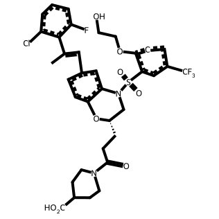 C/C(=C\c1ccc2c(c1)N(S(=O)(=O)c1cc(C(F)(F)F)ccc1OCCO)C[C@H](CCC(=O)N1CCC(C(=O)O)CC1)O2)c1c(F)cccc1Cl